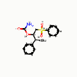 CC(C)(C)C(c1ccccc1)C(CS(=O)(=O)c1ccccc1)OC(N)=O